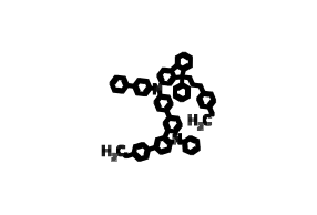 C=Cc1ccc(CCCC2(c3ccccc3)c3ccccc3-c3ccc(N(c4ccc(-c5ccccc5)cc4)c4ccc(-c5ccc6c(c5)c5cc(-c7ccc(C=C)cc7)ccc5n6-c5ccccc5)cc4)cc32)cc1